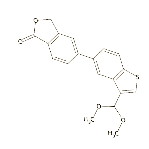 COC(OC)c1csc2ccc(-c3ccc4c(c3)COC4=O)cc12